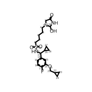 O=C1CN(CCCCCS(=O)(=O)NC(c2ccc(F)c(OCC3CC3)c2)C2CC2)C(O)N1